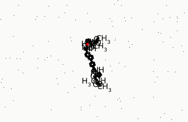 COC(=O)N[C@@H](C)C(=O)N1CCC[C@H]1c1ncc(-c2ccc(-c3ccc4cc(-c5cnc([C@@H]6[C@H]7CC[C@H](C7)N6C(=O)[C@H](C)NC(=O)OC)[nH]5)ccc4c3)cc2)[nH]1